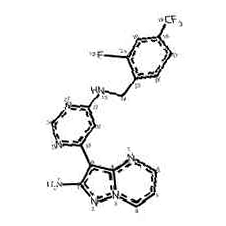 Nc1nn2cccnc2c1-c1cc(NCc2ccc(C(F)(F)F)cc2F)ncn1